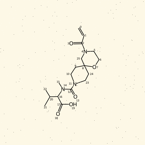 C=CC(=O)N1CCOC2(CCN(C(=O)N(C)C(C(=O)O)C(C)C)CC2)C1